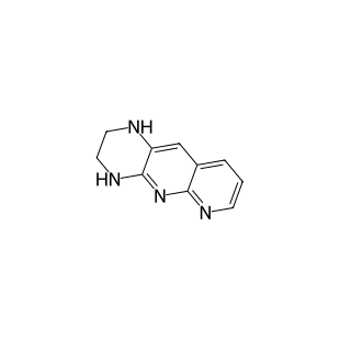 c1cnc2nc3c(cc2c1)NCCN3